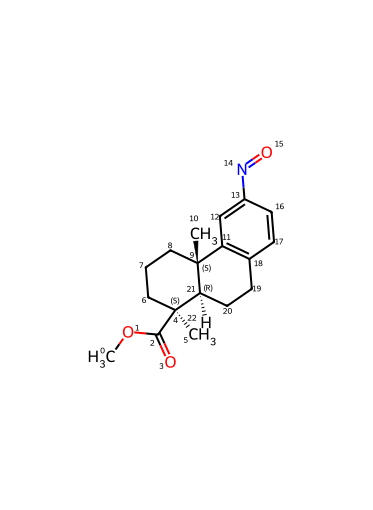 COC(=O)[C@@]1(C)CCC[C@]2(C)c3cc(N=O)ccc3CC[C@@H]12